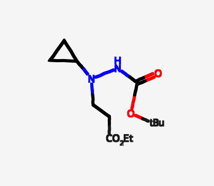 CCOC(=O)CCN(NC(=O)OC(C)(C)C)C1CC1